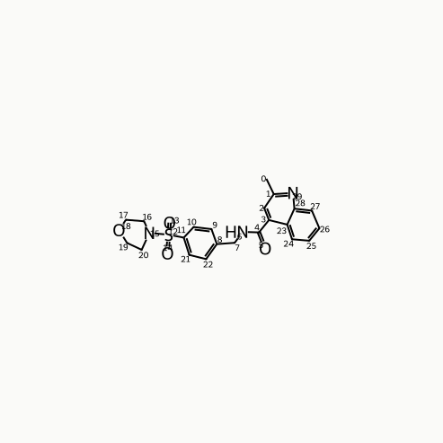 Cc1cc(C(=O)NCc2ccc(S(=O)(=O)N3CCOCC3)cc2)c2ccccc2n1